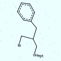 CCCCCCCCC(CBr)Cc1ccccc1